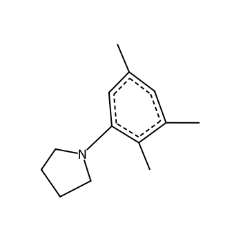 Cc1cc(C)c(C)c(N2CCCC2)c1